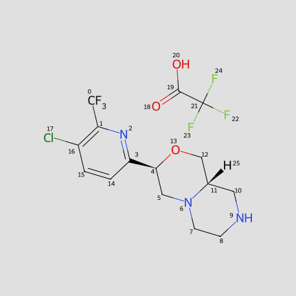 FC(F)(F)c1nc([C@@H]2CN3CCNC[C@H]3CO2)ccc1Cl.O=C(O)C(F)(F)F